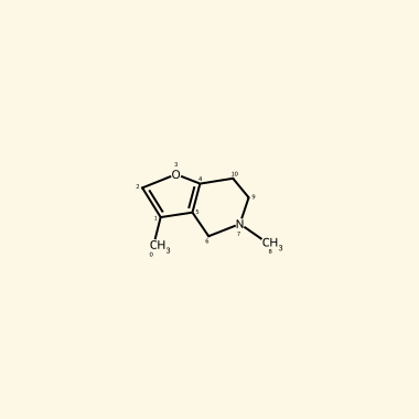 Cc1coc2c1CN(C)CC2